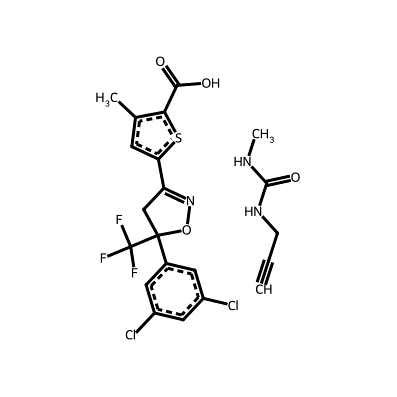 C#CCNC(=O)NC.Cc1cc(C2=NOC(c3cc(Cl)cc(Cl)c3)(C(F)(F)F)C2)sc1C(=O)O